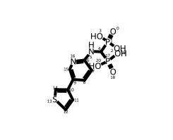 O=P(O)(O)C(Nc1ccc(-c2ccsc2)cn1)P(=O)(O)O